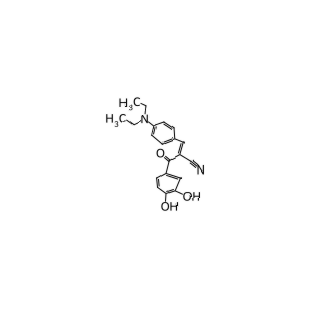 CCN(CC)c1ccc(C=C(C#N)C(=O)c2ccc(O)c(O)c2)cc1